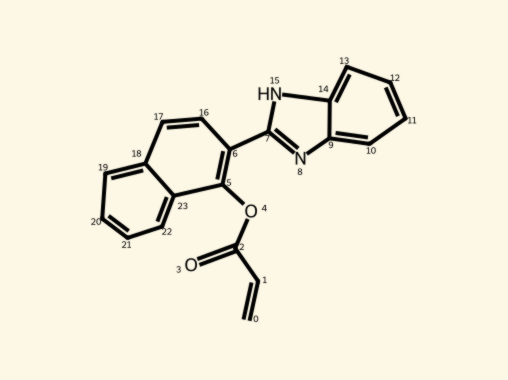 C=CC(=O)Oc1c(-c2nc3ccccc3[nH]2)ccc2ccccc12